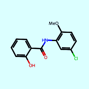 COc1ccc(Cl)cc1NC(=O)c1c[c]ccc1O